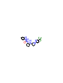 O=C(Nc1ccccc1)N[C@@H]1CCCC[C@H]1N[C@H]1CCCN(c2ccc(C(F)(F)F)cn2)C1